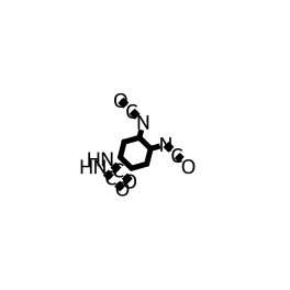 N=C=O.N=C=O.O=C=NC1CCCCC1N=C=O